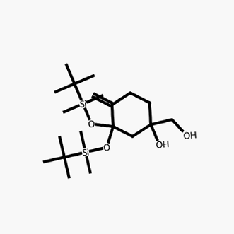 C=C1CCC(O)(CO)CC1(O[Si](C)(C)C(C)(C)C)O[Si](C)(C)C(C)(C)C